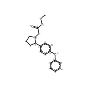 CCOC(=O)CN1CCCC1c1ccc(Oc2ccccc2)cc1